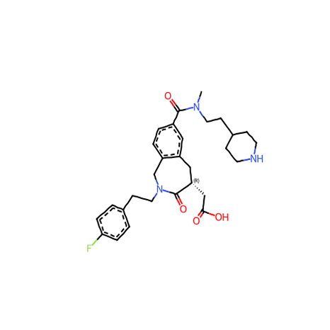 CN(CCC1CCNCC1)C(=O)c1ccc2c(c1)C[C@H](CC(=O)O)C(=O)N(CCc1ccc(F)cc1)C2